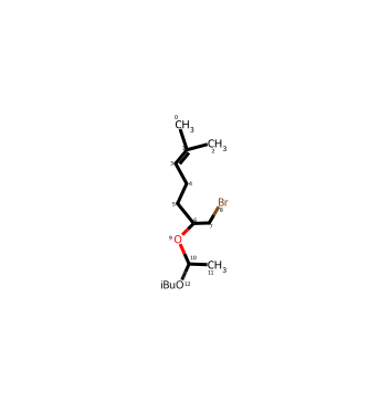 CC(C)=CCCC(CBr)OC(C)OCC(C)C